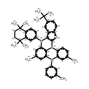 Cc1cccc(N2c3cc(C)ccc3B3c4sc5ccc(C(C)(C)C)cc5c4N(c4ccc5c(c4)C(C)(C)CCC5(C)C)c4cc(C)cc2c43)c1